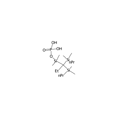 CCC[Si](C)(C)C(CC)([Si](C)(C)CCC)[Si](C)(C)OP(=O)(O)O